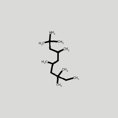 CCC(C)(C)CC(C)CC(C)CC(C)(C)N